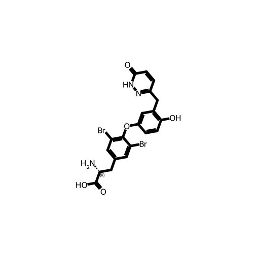 N[C@H](Cc1cc(Br)c(Oc2ccc(O)c(Cc3ccc(=O)[nH]n3)c2)c(Br)c1)C(=O)O